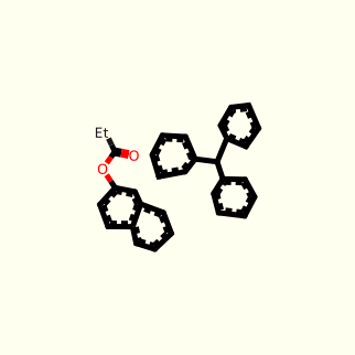 CCC(=O)Oc1ccc2ccccc2c1.c1ccc(C(c2ccccc2)c2ccccc2)cc1